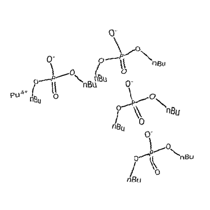 CCCCOP(=O)([O-])OCCCC.CCCCOP(=O)([O-])OCCCC.CCCCOP(=O)([O-])OCCCC.CCCCOP(=O)([O-])OCCCC.[Pu+4]